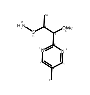 COC(c1ncc(C)cn1)C(C)SN